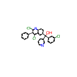 OC(c1cccnc1)(c1cccc(Cl)c1)c1ccc2nc(Cl)c(-c3ccccc3)c(Cl)c2c1